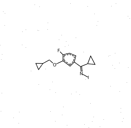 Fc1ccc(/C(=N/I)C2CC2)cc1OCC1CC1